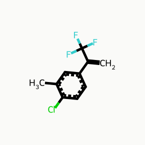 C=C(c1ccc(Cl)c(C)c1)C(F)(F)F